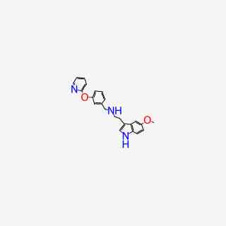 COc1ccc2[nH]cc(CCNCc3cccc(Oc4ccccn4)c3)c2c1